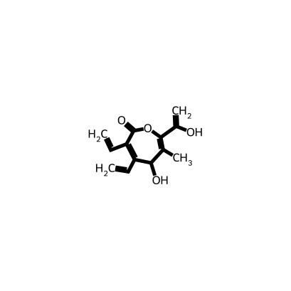 C=CC1=C(C=C)C(O)C(C)=C(C(=C)O)OC1=O